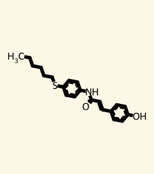 CCCCCCSc1ccc(NC(=O)/C=C/c2ccc(O)cc2)cc1